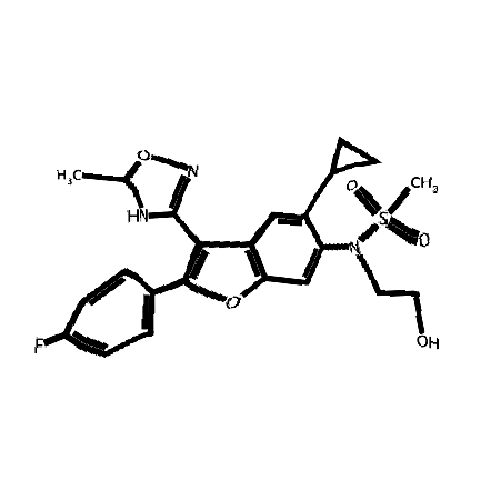 CC1NC(c2c(-c3ccc(F)cc3)oc3cc(N(CCO)S(C)(=O)=O)c(C4CC4)cc23)=NO1